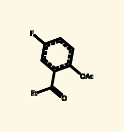 CCC(=O)c1cc(F)ccc1OC(C)=O